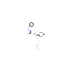 CC1(C)Cc2c(c(C(=O)Nc3cnn(Cc4ccccc4)c3)nn2COCC[Si](C)(C)C)CC1C#N